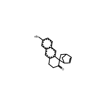 CCCCc1ccc2cc3c(cc2c1)CCC(=O)C31CC2C=CC1C2